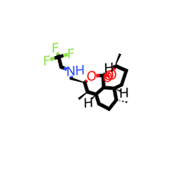 C[C@H]1[C@@H](CNCC(F)(F)F)O[C@@H]2O[C@@]3(C)CC[C@H]4[C@H](C)CC[C@@H]1[C@@]24OO3